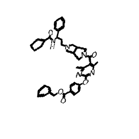 Cc1nc(Oc2ccc(C(=O)OCc3ccccc3)cc2)nc(C)c1C(=O)N1CC2CN(CCC(NC(=O)C3CCCC3)c3ccccc3)CC2C1